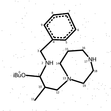 CC(C)COC(NCc1ccccc1)C(C)CN1CCCNCC1